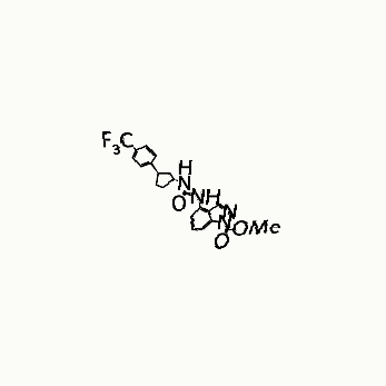 COC(=O)n1ncc2c(NC(=O)N[C@@H]3CC[C@@H](c4ccc(C(F)(F)F)cc4)C3)cccc21